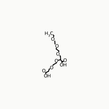 CCOCCOCCOCC(OCCOCCC(=O)O)C(=O)O